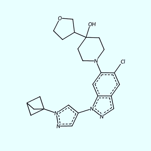 OC1(C2CCOC2)CCN(c2cc3c(cnn3-c3cnn(C45CC(C4)C5)c3)cc2Cl)CC1